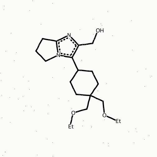 CCOCC1(COCC)CCC(c2c(CO)nc3n2CCC3)CC1